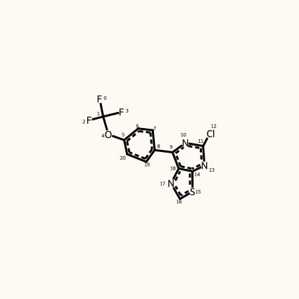 FC(F)(F)Oc1ccc(-c2nc(Cl)nc3scnc23)cc1